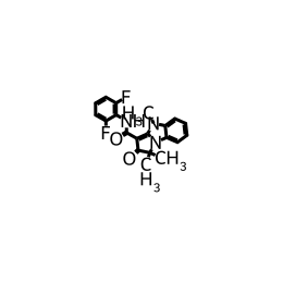 CN1C2=C(C(=O)Nc3c(F)cccc3F)C(=O)C(C)(C)N2c2ccccc21